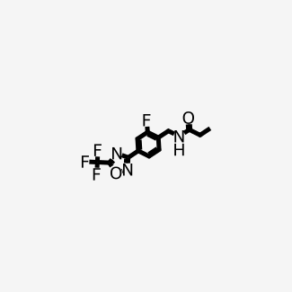 CCC(=O)NCc1ccc(-c2noc(C(F)(F)F)n2)cc1F